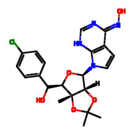 CC1(C)O[C@H]2[C@H](n3ccc4/c(=N/O)nc[nH]c43)O[C@H](C(O)c3ccc(Cl)cc3)[C@@]2(C)O1